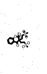 CCC1(CC)Oc2ccccc2C(=O)C1(CCS(C)(=O)=O)CCS(C)(=O)=O